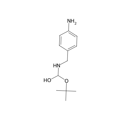 CC(C)(C)OC(O)NCc1ccc(N)cc1